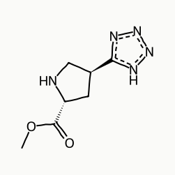 COC(=O)[C@H]1C[C@H](c2nnn[nH]2)CN1